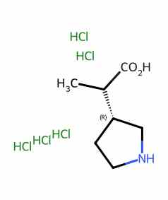 CC(C(=O)O)[C@H]1CCNC1.Cl.Cl.Cl.Cl.Cl